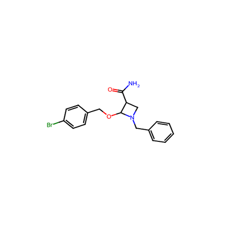 NC(=O)C1CN(Cc2ccccc2)C1OCc1ccc(Br)cc1